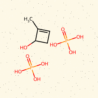 CC1=CCC1O.O=P(O)(O)O.O=P(O)(O)O